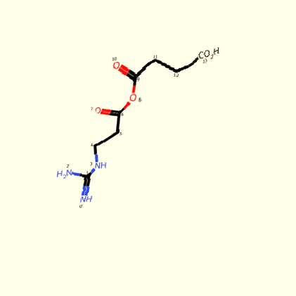 N=C(N)NCCC(=O)OC(=O)CCC(=O)O